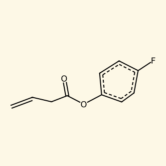 C=CCC(=O)Oc1ccc(F)cc1